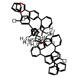 CC1=CC2=C(C=CC=CC2c2ccc(-c3ccccc3)c(Cl)c2)[C]12[SiH](C)[C]1(C(C)=CC3=C1C=CC=CC3c1ccc(-c3ccccc3)c(Cl)c1)[Hf]21([Cl])([Cl])[C]2(C(C)=CC3=C2C=CC=CC3c2ccc(-c3ccccc3)c(Cl)c2)[SiH](C)[C]12C(C)=CC1=C2C=CC=CC1c1ccc(-c2ccccc2)c(Cl)c1